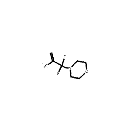 C=C(C(F)(F)F)C(F)(F)N1CCOCC1